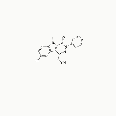 Cn1c2ccc(Cl)cc2c2c(CC#N)nn(-c3ccccc3)c(=O)c21